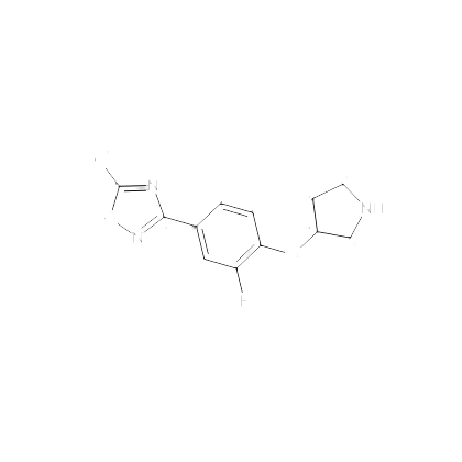 Fc1cc(-c2noc(C(F)(F)F)n2)ccc1OC1CCNC1